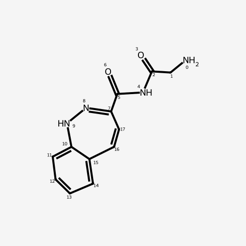 NCC(=O)NC(=O)C1=NNc2ccccc2C=C1